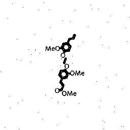 C=CCc1ccc(OCCOc2ccc(/C=C/C(=O)OC)cc2OC)c(OC)c1